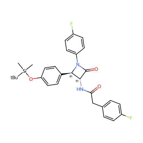 CC(C)(C)[Si](C)(C)Oc1ccc([C@@H]2[C@@H](NC(=O)Cc3ccc(F)cc3)C(=O)N2c2ccc(F)cc2)cc1